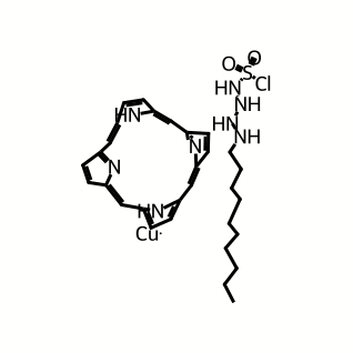 C1=Cc2cc3ccc(cc4nc(cc5ccc(cc1n2)[nH]5)C=C4)[nH]3.CCCCCCCCCCNNNNS(=O)(=O)Cl.[Cu]